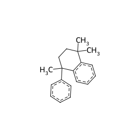 CC1(C)CCC(C)(c2ccccc2)c2ccccc21